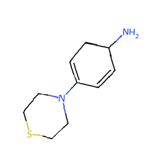 NC1C=CC(N2CCSCC2)=CC1